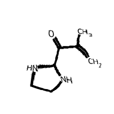 C=C(C)C(=O)C1NCCN1